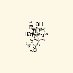 COc1cc2c(cc1OC)[C@@H]1[C@H](O)[C@@H](OC)[C@H](O)C3=CCN(C2)[C@H]31